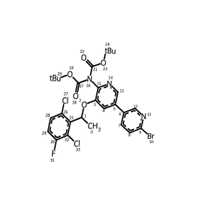 CC(Oc1cc(-c2ccc(Br)nc2)cnc1N(C(=O)OC(C)(C)C)C(=O)OC(C)(C)C)c1c(Cl)ccc(F)c1Cl